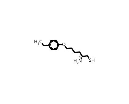 CCc1ccc(OCCCC[C@H](N)CS)cc1